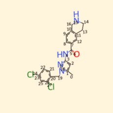 Cc1cc(NC(=O)c2ccc3c(c2)CCNC3)nn1Cc1ccc(Cl)cc1Cl